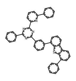 c1ccc(-c2cccc(-c3nc(-c4ccccc4)nc(-c4cccc(-c5cccc6c5sc5c(-c7ccccc7)cccc56)c4)n3)n2)cc1